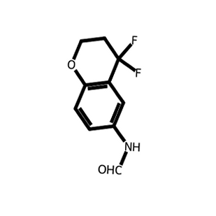 O=CNc1ccc2c(c1)C(F)(F)CCO2